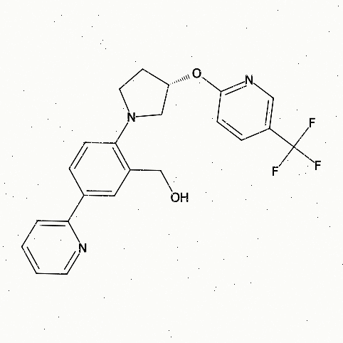 OCc1cc(-c2ccccn2)ccc1N1CC[C@H](Oc2ccc(C(F)(F)F)cn2)C1